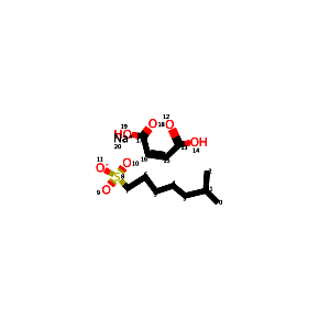 CC(C)CCCCCS(=O)(=O)[O-].O=C(O)/C=C\C(=O)O.[Na+]